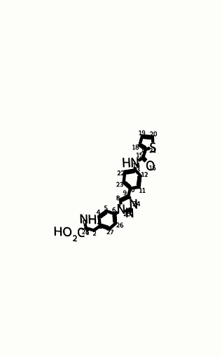 NC(Cc1ccc(-n2cc(-c3ccc(NC(=O)c4cccs4)cc3)nn2)cc1)C(=O)O